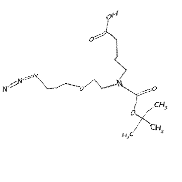 CC(C)(C)OC(=O)N(CCCC(=O)O)CCOCCN=[N+]=[N-]